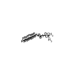 CC(C)OC(=O)/C=C/C(=O)OCCC(F)(F)C(F)(F)C(F)(F)C(F)(F)C(F)(F)C(F)(F)C(F)(F)C(F)(F)F